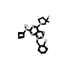 CN(C1=CC=C1)c1nc(N2CCC(F)(F)C2)c2nnn(Cc3ccccc3Cl)c2n1